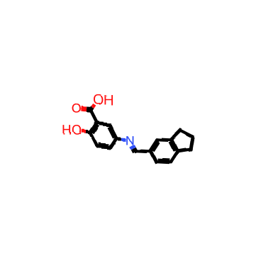 O=C(O)c1cc(N=Cc2ccc3c(c2)CCC3)ccc1O